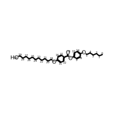 CCCCCCOc1ccc(OC(=O)c2ccc(OCCCCCCCCCCCO)cc2)cc1